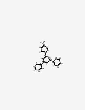 Brc1ccc(-c2nc(-c3ccccc3)cc(-c3ccccc3)n2)cc1